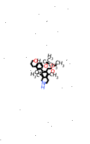 CCOC(=O)[C@@H](OC(C)(C)C)c1c(C)c2c(c(C)c1-c1ccc3c(c1C)CCCO3)CNCC2